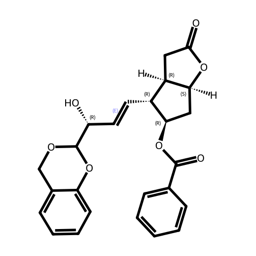 O=C1C[C@@H]2[C@@H](/C=C/[C@@H](O)C3OCc4ccccc4O3)[C@H](OC(=O)c3ccccc3)C[C@@H]2O1